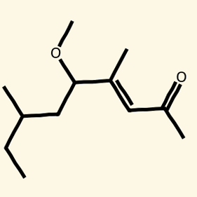 CCC(C)CC(OC)C(C)=CC(C)=O